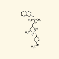 CBc1ccc(CS(=O)(=O)N(C)CC(O)CNC(C)(C)Cc2ccc3ccccc3c2)cc1